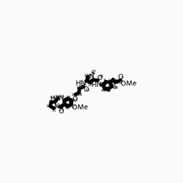 COC(=O)c1cc2cc(NC(=O)c3cc(NC(=O)CCCOc4cc5c(cc4OC)C(=O)N4CCC[C@H]4C=N5)cn3C)ccc2s1